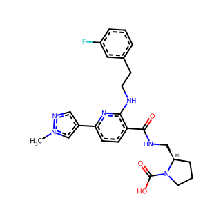 Cn1cc(-c2ccc(C(=O)NC[C@H]3CCCN3C(=O)O)c(NCCc3cccc(F)c3)n2)cn1